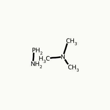 CN(C)C.NP